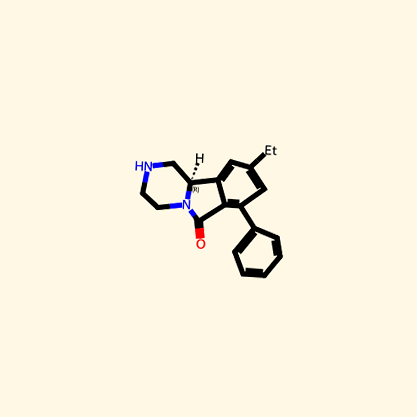 CCc1cc(-c2ccccc2)c2c(c1)[C@@H]1CNCCN1C2=O